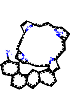 Nc1ccc2ccc3cc4ccccc4cc3c2c1-n1c2ccc1cc1nc(cc3ccc(cc4nc(c2)C=C4)[nH]3)C=C1